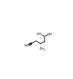 C#CC[C@@H](C)CB(O)O